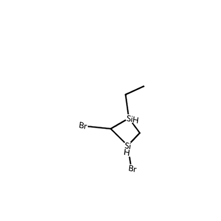 CC[SiH]1C[SiH](Br)C1Br